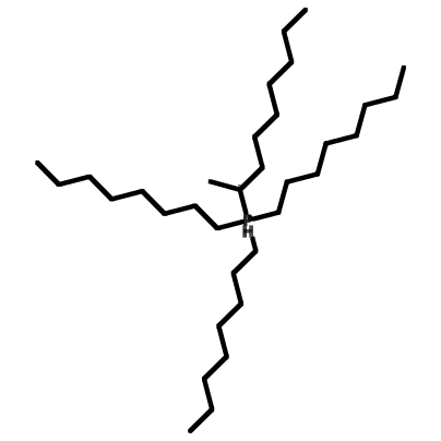 CCCCCCCC[PH](CCCCCCCC)(CCCCCCCC)[C](C)CCCCCCC